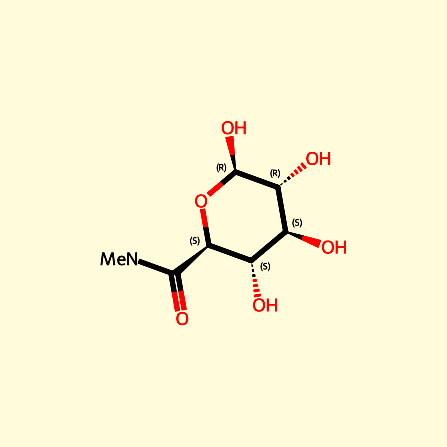 CNC(=O)[C@H]1O[C@@H](O)[C@H](O)[C@@H](O)[C@@H]1O